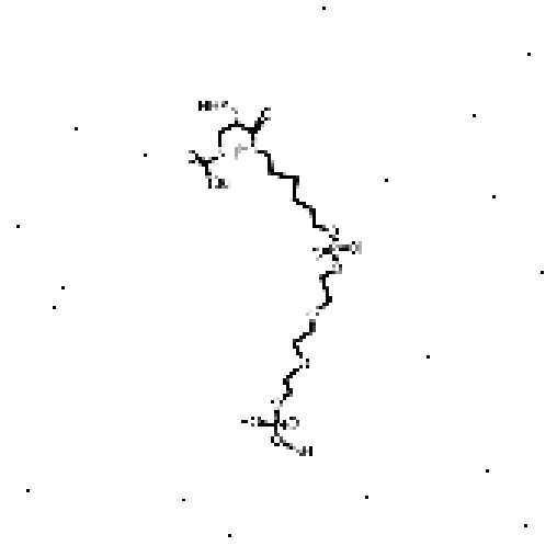 CC(=O)N[C@@H](CNC(=O)C(C)(C)C)C(=O)NCCCCCCOP(=O)(O)OCCOCCOCCOP(=O)(O)OS